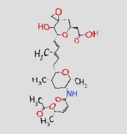 CC(=O)O[C@@H](C)/C=C\C(=O)N[C@@H]1C[C@H](C)[C@H](C/C=C(\C)C=C[C@H]2O[C@H](CC(=O)O)C[C@@]3(CO3)[C@@H]2O)O[C@@H]1C